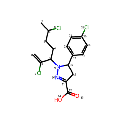 C=C(Cl)C(CCC(C)Cl)N1N=C(C(=O)O)CC1c1ccc(Cl)cc1